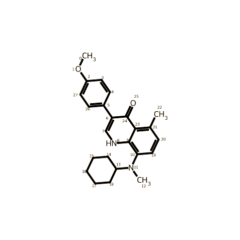 COc1ccc(-c2c[nH]c3c(N(C)C4CCCCC4)ccc(C)c3c2=O)cc1